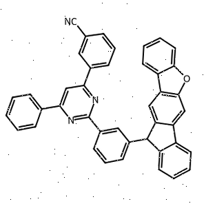 N#Cc1cccc(-c2cc(-c3ccccc3)nc(-c3cccc(C4c5ccccc5-c5cc6oc7ccccc7c6cc54)c3)n2)c1